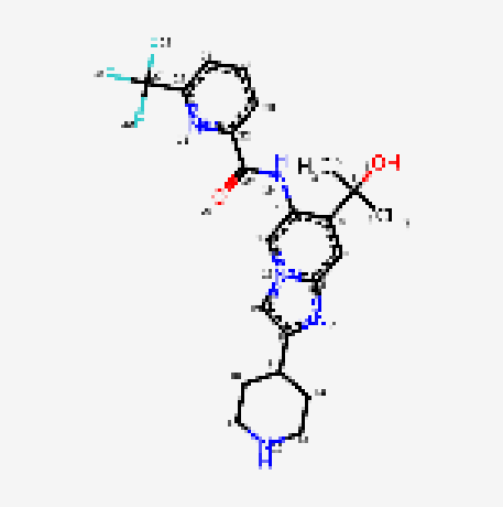 CC(C)(O)c1cc2nc(C3CCNCC3)cn2cc1NC(=O)c1cccc(C(F)(F)F)n1